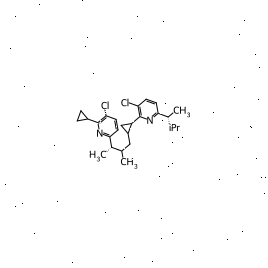 CC(CC1CC1c1nc([C@H](C)C(C)C)ccc1Cl)[C@H](C)c1ccc(Cl)c(C2CC2)n1